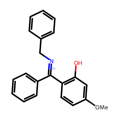 COc1ccc(/C(=N/Cc2ccccc2)c2ccccc2)c(O)c1